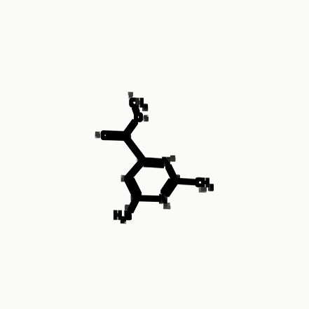 Bc1cc(C(=O)OC)nc(C)n1